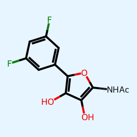 CC(=O)Nc1oc(-c2cc(F)cc(F)c2)c(O)c1O